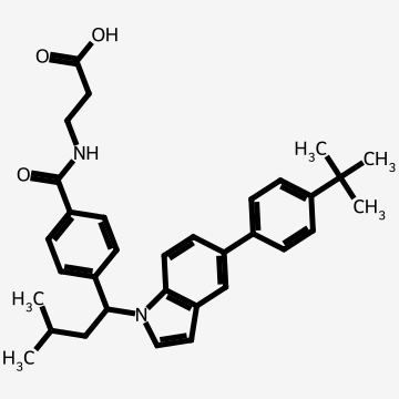 CC(C)CC(c1ccc(C(=O)NCCC(=O)O)cc1)n1ccc2cc(-c3ccc(C(C)(C)C)cc3)ccc21